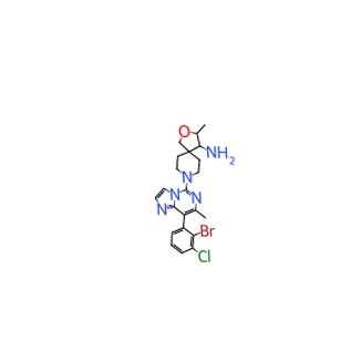 Cc1nc(N2CCC3(CC2)COC(C)C3N)n2ccnc2c1-c1cccc(Cl)c1Br